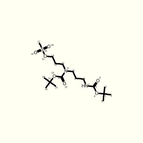 CC(C)(C)OC(=O)NCCCN(CCCOS(C)(=O)=O)C(=O)OC(C)(C)C